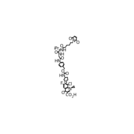 CC(C)[C@H](NC(=O)CCCCCN1C(=O)C=CC1=O)C(=O)NCC(=O)Nc1ccc(COC(=O)NC2CCN(c3c(F)cc4c(=O)c(C(=O)O)cn(C5CC5)c4c3Cl)C2)cc1